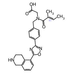 C/C=C(\C)C(=O)N(CC(=O)O)Cc1ccc(-c2noc(-c3cccc4c3CCNC4)n2)cc1